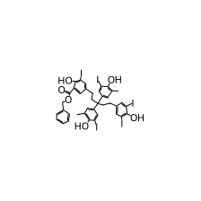 Cc1cc(C(CCc2cc(I)c(O)c(I)c2)(CCc2cc(I)c(O)c(C(=O)OCc3ccccc3)c2)c2cc(C)c(O)c(I)c2)cc(I)c1O